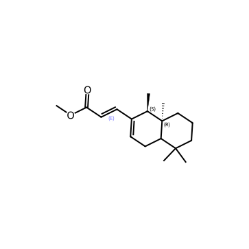 COC(=O)/C=C/C1=CCC2C(C)(C)CCC[C@]2(C)[C@@H]1C